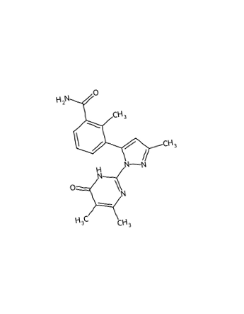 Cc1cc(-c2cccc(C(N)=O)c2C)n(-c2nc(C)c(C)c(=O)[nH]2)n1